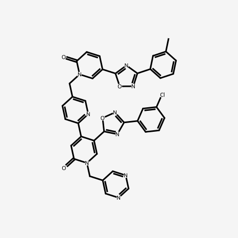 Cc1cccc(-c2noc(-c3ccc(=O)n(Cc4ccc(-c5cc(=O)n(Cc6cncnc6)cc5-c5nc(-c6cccc(Cl)c6)no5)nc4)c3)n2)c1